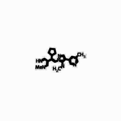 C=Nc1c(-c2cncc(C)c2)cnn1/C=C(/C(C=N)=C/NC)C1CCCC1